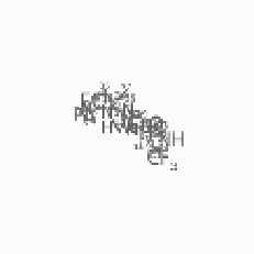 CCn1nccc1C(=O)N[C@H](c1cn2nc(C(C)C3(C(=O)OC)C[C@@H](C(F)(F)F)CNC3=O)ccc2n1)C(C1CC1)C1CC1